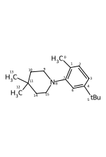 Cc1ccc(C(C)(C)C)cc1N1CCC(C)(C)CC1